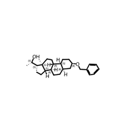 C[C@H](O)[C@H]1CC[C@H]2[C@@H]3CC[C@@H]4C[C@H](OCc5ccccc5)CC[C@@H]4[C@H]3CC[C@]12C